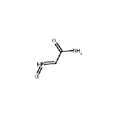 NC(=O)C=[PH]=O